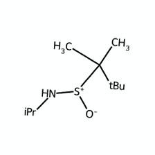 CC(C)N[S+]([O-])C(C)(C)C(C)(C)C